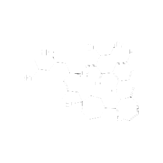 C=C(C(=O)c1cc(F)ccc1OC1C(=C)C=C=CN=C1C1CCCC(CC)(C/C(C)=C\[C@@H](C[C@H](O)CC(C)C(C)C)C(C)C)CC1)C(CC)CC(C)C